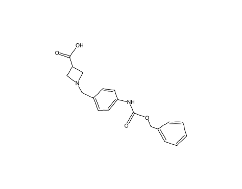 O=C(Nc1ccc(CN2CC(C(=O)O)C2)cc1)OCc1ccccc1